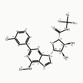 [2H]C([2H])([2H])NC(=O)[C@H]1O[C@@H](n2cnc3c(NCC)nc(-c4cncc(Cl)c4)nc32)[C@H](O)[C@@H]1O